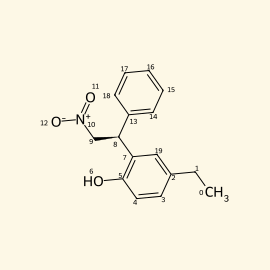 CCc1ccc(O)c([C@@H](C[N+](=O)[O-])c2ccccc2)c1